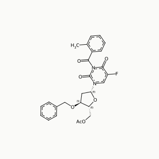 CC(=O)OC[C@H]1O[C@@H](n2cc(F)c(=O)n(C(=O)c3ccccc3C)c2=O)C[C@@H]1OCc1ccccc1